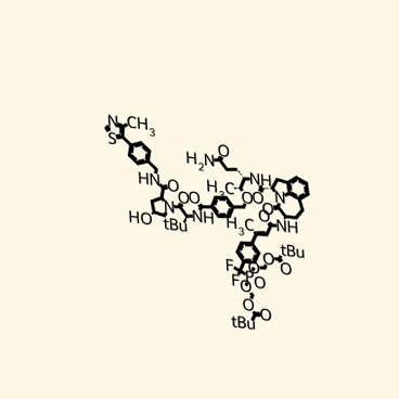 C/C(=C\C(=O)N[C@H]1CCc2cccc3c2N(C1=O)[C@H](C(=O)N[C@@H](CCC(N)=O)[C@@H](C)OCc1ccc(C(=O)N[C@H](C(=O)N2C[C@H](O)CC2C(=O)NCc2ccc(-c4scnc4C)cc2)C(C)(C)C)cc1)C3)c1ccc(C(F)(F)P(=O)(OCOC(=O)C(C)(C)C)OCOC(=O)C(C)(C)C)cc1